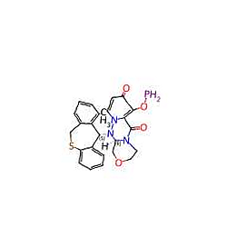 Cc1cccc2c1[C@H](N1[C@@H]3COCCN3C(=O)c3c(OP)c(=O)ccn31)c1ccccc1SC2